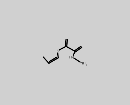 C=C(NN)C(=C)S/C=C\C